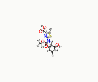 COC(=O)c1nc(N(Cc2ccc(C)cc2OC)C(=O)OC(C)(C)C)sc1C